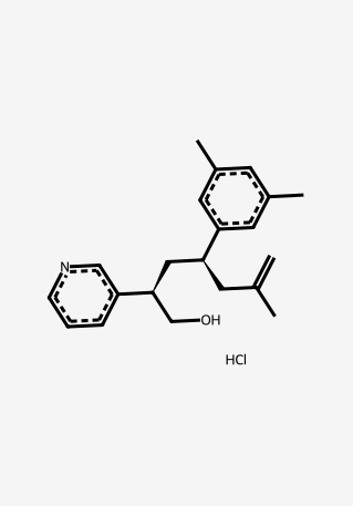 C=C(C)C[C@@H](C[C@@H](CO)c1cccnc1)c1cc(C)cc(C)c1.Cl